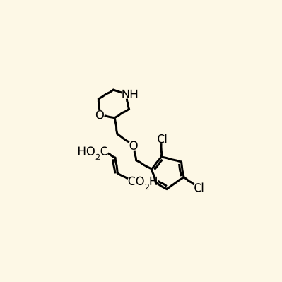 Clc1ccc(COCC2CNCCO2)c(Cl)c1.O=C(O)C=CC(=O)O